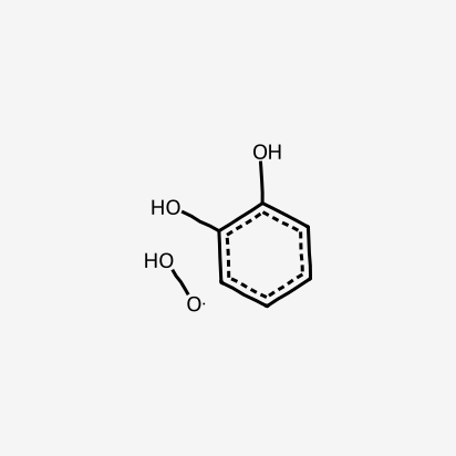 Oc1ccccc1O.[O]O